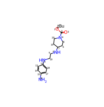 CC(C)(C)OC(=O)N1CCC(NCCNc2ccc(N)cc2)CC1